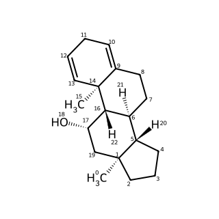 C[C@@]12CCC[C@H]1[C@@H]1CCC3=CCC=C[C@]3(C)[C@H]1[C@@H](O)C2